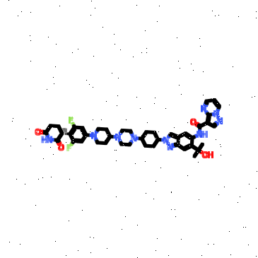 CC(C)(O)c1cc2nn(C3CCC(N4CCN(C5CCN(c6cc(F)c([C@H]7CCC(=O)NC7=O)c(F)c6)CC5)CC4)CC3)cc2cc1NC(=O)c1cnn2cccnc12